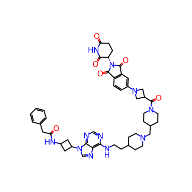 O=C1CC[C@H](N2C(=O)c3ccc(N4CC(C(=O)N5CCC(CN6CCC(CCNc7ncnc8c7ncn8C7CC(NC(=O)Cc8ccccc8)C7)CC6)CC5)C4)cc3C2=O)C(=O)N1